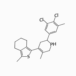 CC1=C(c2sc(C)c3c2CCCC3)CC(c2cc(C)c(Cl)c(Cl)c2)PC1